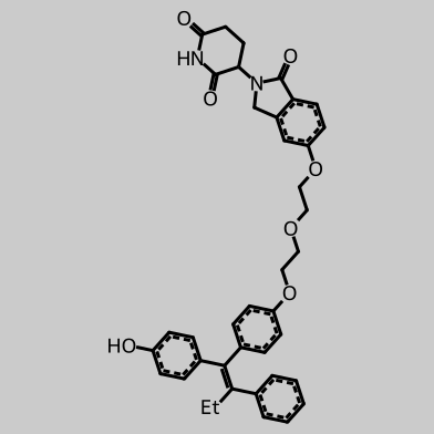 CC/C(=C(\c1ccc(O)cc1)c1ccc(OCCOCCOc2ccc3c(c2)CN(C2CCC(=O)NC2=O)C3=O)cc1)c1ccccc1